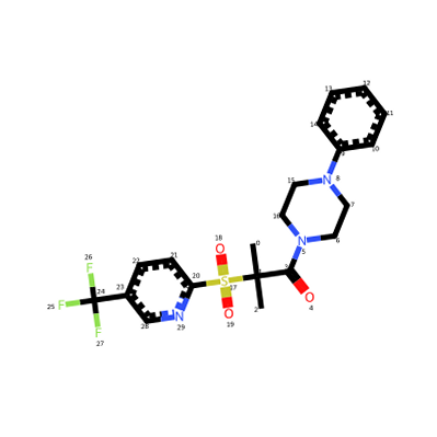 CC(C)(C(=O)N1CCN(c2ccccc2)CC1)S(=O)(=O)c1ccc(C(F)(F)F)cn1